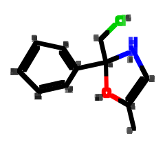 CC1=CNC(CCl)(c2ccccc2)O1